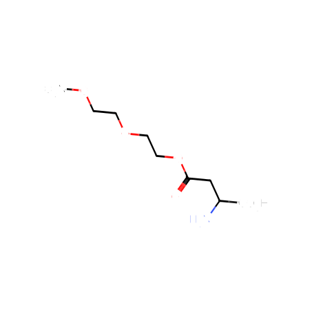 NC(CC(=O)OCCOCCO[N+](=O)[O-])C(=O)O